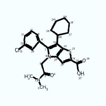 CN(C)C(=O)Cn1c(-c2cccc(Cl)c2)c(C2CCCCC2)c2sc(C(=O)O)cc21